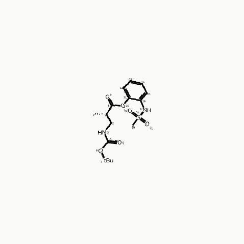 C[C@@H](CNC(=O)OC(C)(C)C)C(=O)Oc1ccccc1NS(C)(=O)=O